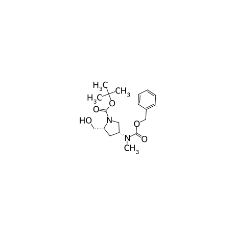 CN(C(=O)OCc1ccccc1)[C@@H]1C[C@H](CO)N(C(=O)OC(C)(C)C)C1